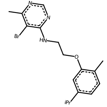 Cc1ccc(C(C)C)cc1OCCNc1ncnc(C)c1Br